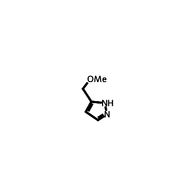 [CH2]OCc1ccn[nH]1